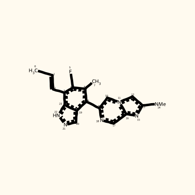 C/C=C/c1c(F)c(C)c(-c2cn3cc(NC)nc3cn2)c2cn[nH]c12